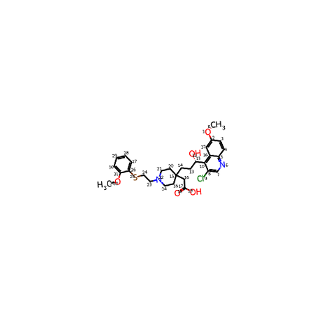 COc1ccc2ncc(Cl)c([C@@H](O)CCC3(CC(=O)O)CCN(CCSc4ccccc4OC)CC3)c2c1